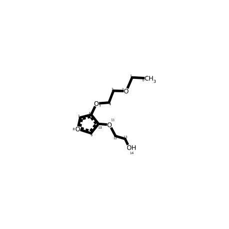 CCOCCOc1cocc1OCCO